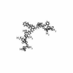 Cc1c(-c2ccc(N3CCc4c(OCCC(CNC(=O)OCc5ccccc5C(CNC(N)=O)C[C@H](N)C(N)=O)S(=O)(=O)O)ccc(C(=O)Nc5nc6ccccc6s5)c4C3)nc2C(=O)O)cnn1CC12CC3(C)CC(C)(C1)CC(OCCN(C)CCS(=O)(=O)O)(C3)C2